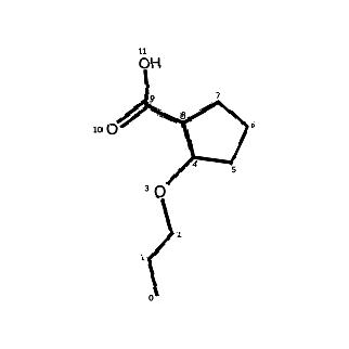 CCCOC1CCCC1C(=O)O